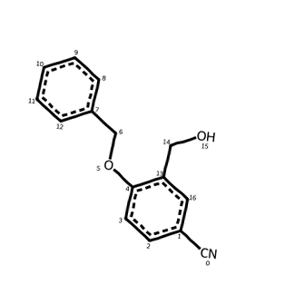 N#Cc1ccc(OCc2ccccc2)c(CO)c1